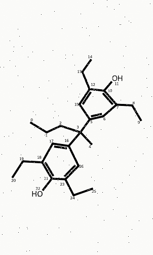 CCCC(C)(c1cc(CC)c(O)c(CC)c1)c1cc(CC)c(O)c(CC)c1